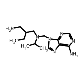 BCC(CC)CN(Cn1cnc2c(N)ncnc21)C(C)C